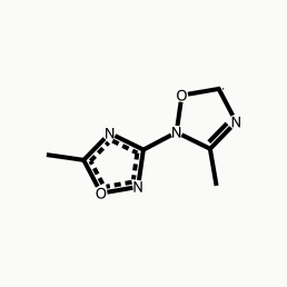 CC1=N[CH]ON1c1noc(C)n1